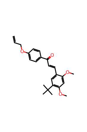 C=CCOc1ccc(C(=O)C=Cc2cc(C(C)(C)C)c(OC)cc2OC)cc1